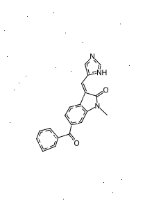 CN1C(=O)/C(=C\c2cnc[nH]2)c2ccc(C(=O)c3ccccc3)cc21